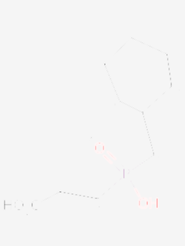 O=C(O)CCP(=O)(O)CC1CCCCC1